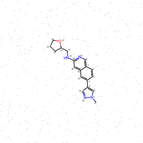 Cn1cc(-c2ccc3cnc(NCC4CCCO4)cc3c2)cn1